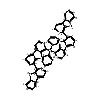 c1ccc([Si](c2ccccc2)(c2nccc3c2oc2c(-c4nccc5c4oc4ccccc45)cccc23)c2nccc3c2oc2c(-c4nccc5c4sc4ccccc45)cccc23)cc1